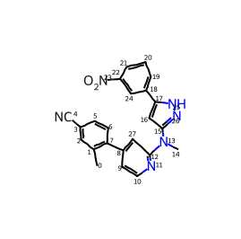 Cc1cc(C#N)ccc1-c1ccnc(N(C)c2cc(-c3cccc([N+](=O)[O-])c3)[nH]n2)c1